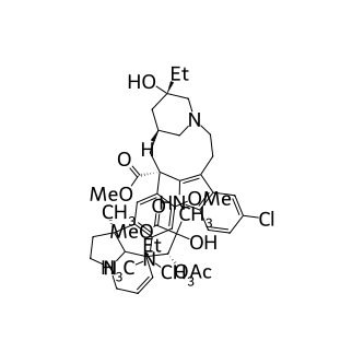 CC[C@]1(O)C[C@@H]2CN(CCc3c([nH]c4ccc(Cl)cc34)[C@@](C(=O)OC)(c3cc([C@]4(C)CCN5CC=C[C@@](CC)([C@@H](OC(C)=O)C(C)(O)C(=O)OC)C54)c(N(C)C)cc3OC)C2)C1